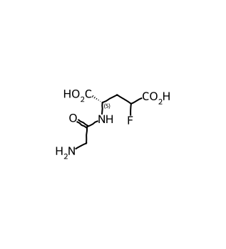 NCC(=O)N[C@@H](CC(F)C(=O)O)C(=O)O